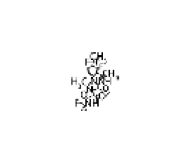 Cc1nc(N[C@H](C)c2cccc(C(C)(F)F)c2F)c(C2OCCO2)c(C(F)C(=O)NC2(CF)CC2)n1